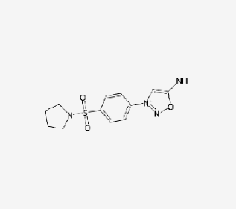 [NH-]c1c[n+](-c2ccc(S(=O)(=O)N3CCCC3)cc2)no1